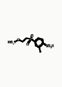 Cc1cc(S(=O)(=O)CCOS(=O)(=O)O)ccc1S(=O)(=O)O